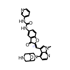 Cn1cc(/C=C2\Oc3ccc(NC(=O)Nc4cccnc4)cc3C2=O)c2c(N3CC4CNCC(C3)O4)ccnc21